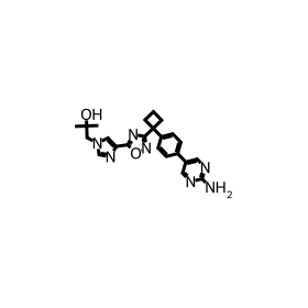 CC(C)(O)Cn1cnc(-c2nc(C3(c4ccc(-c5cnc(N)nc5)cc4)CCC3)no2)c1